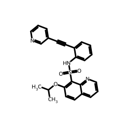 CC(C)Oc1ccc2cccnc2c1S(=O)(=O)Nc1ccccc1C#Cc1cccnc1